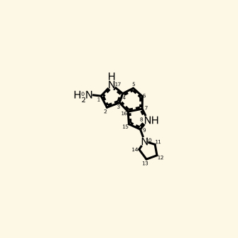 Nc1cc2c(ccc3[nH]c(N4CCCC4)cc32)[nH]1